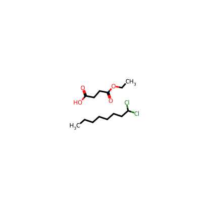 CCCCCCCC(Cl)Cl.CCOC(=O)CCC(=O)O